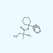 CCC(C)(I)C(=O)OC1(c2cc3ccc2o3)CCCCC1